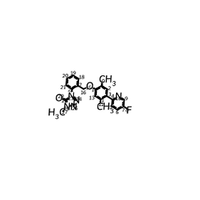 Cc1cc(-c2ccc(F)cn2)c(C)cc1OCc1ccccc1-n1nnn(C)c1=O